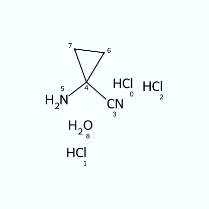 Cl.Cl.Cl.N#CC1(N)CC1.O